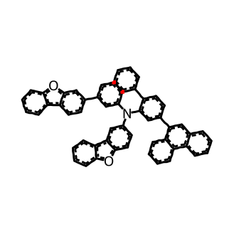 c1ccc(-c2ccc(-c3cc4ccccc4c4ccccc34)cc2N(c2cccc(-c3ccc4c(c3)oc3ccccc34)c2)c2ccc3oc4ccccc4c3c2)cc1